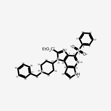 CCOC(=O)c1nc2c(S(=O)(=O)c3ccccc3)nc3[nH]ccc3c2n1C1CCN(Cc2ccccc2)CC1